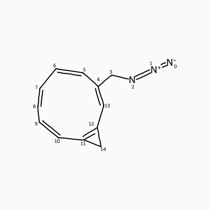 [N-]=[N+]=NCc1ccccccc2c(c1)C2